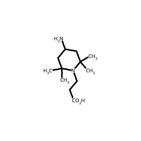 CC1(C)CC(N)CC(C)(C)N1CCC(=O)O